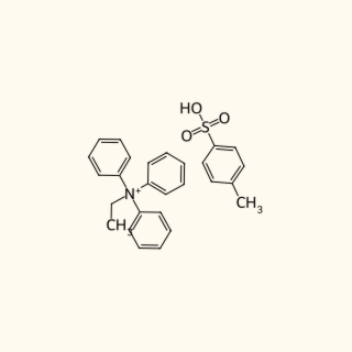 CC[N+](c1ccccc1)(c1ccccc1)c1ccccc1.Cc1ccc(S(=O)(=O)O)cc1